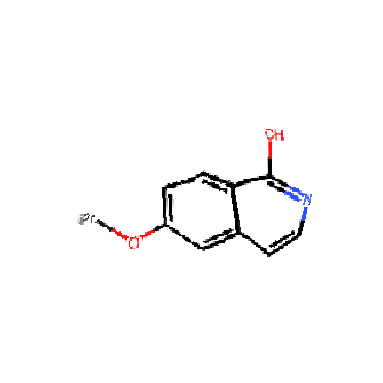 CC(C)Oc1ccc2c(O)nccc2c1